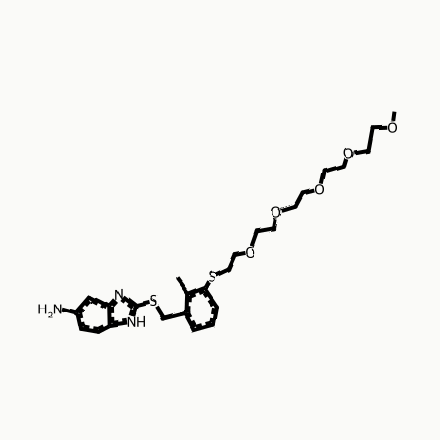 COCCOCCOCCOCCOCCSc1cccc(CSc2nc3cc(N)ccc3[nH]2)c1C